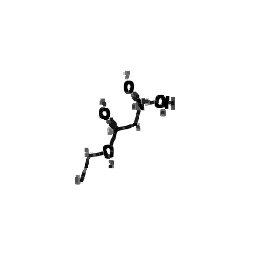 CCOC(=O)C[N+](=O)O